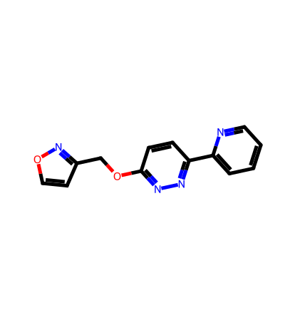 c1ccc(-c2ccc(OCc3ccon3)nn2)nc1